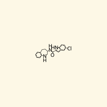 O=C(NC1CCc2ccccc2NC1)c1cc2cc(Cl)ccc2[nH]1